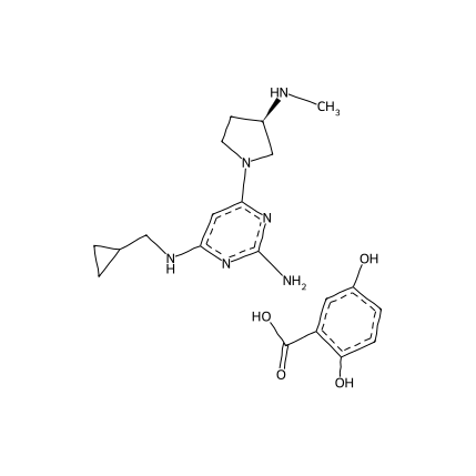 CN[C@@H]1CCN(c2cc(NCC3CC3)nc(N)n2)C1.O=C(O)c1cc(O)ccc1O